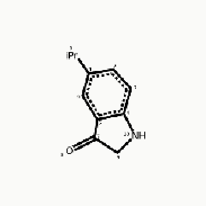 CC(C)c1ccc2c(c1)C(=O)CN2